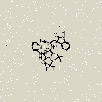 CC(C)(C)C[C@@H](C(=O)N1C[C@]2(C[C@H]1C#N)C(=O)Nc1ccccc12)N(CC(F)(F)F)C(=O)C(=O)Nc1ccccn1